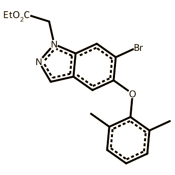 CCOC(=O)Cn1ncc2cc(Oc3c(C)cccc3C)c(Br)cc21